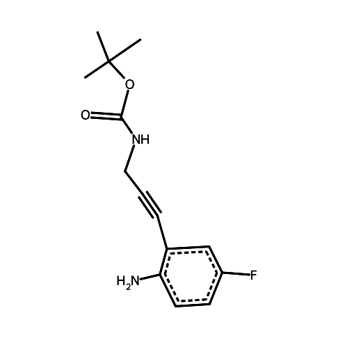 CC(C)(C)OC(=O)NCC#Cc1cc(F)ccc1N